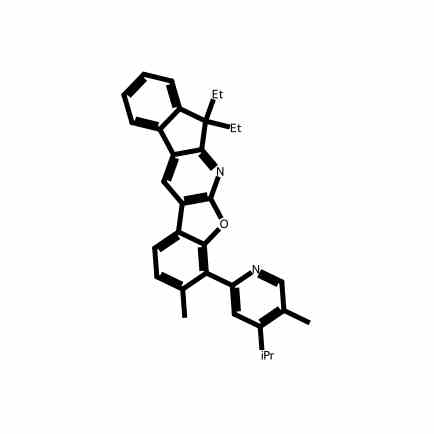 CCC1(CC)c2ccccc2-c2cc3c(nc21)oc1c(-c2cc(C(C)C)c(C)cn2)c(C)ccc13